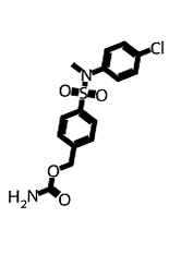 CN(c1ccc(Cl)cc1)S(=O)(=O)c1ccc(COC(N)=O)cc1